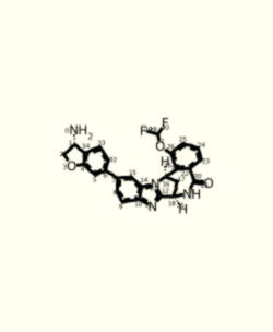 N[C@H]1COc2cc(-c3ccc4nc5n(c4c3)[C@@H]3C[C@H]5NC(=O)c4cccc(OC(F)F)c43)ccc21